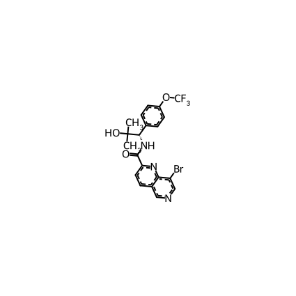 CC(C)(O)[C@@H](NC(=O)c1ccc2cncc(Br)c2n1)c1ccc(OC(F)(F)F)cc1